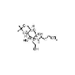 CC1(C)OC[C@H]2O[C@H](O)[C@](CCO)(NC(=O)OCC(Cl)(Cl)Cl)[C@@H](O)[C@@H]2O1